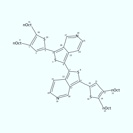 CCCCCCCCc1cc(-c2sc(-c3sc(-c4cc(CCCCCCCC)c(CCCCCCCC)s4)c4cnccc34)c3ccncc23)sc1CCCCCCCC